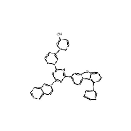 N#Cc1cccc(-c2cccc(-c3nc(-c4ccc5ccccc5c4)nc(-c4ccc5c(c4)oc4cccc(-c6ccccc6)c45)n3)c2)c1